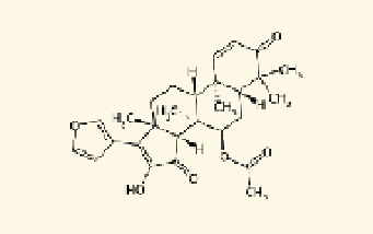 CC(=O)O[C@@H]1C[C@H]2C(C)(C)C(=O)C=C[C@]2(C)[C@H]2CC[C@@]3(C)C(c4ccoc4)=C(O)C(=O)[C@H]3[C@@]21C